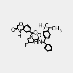 CC(C)c1ccc(C(NC(=O)C2CC(F)CN2C(=O)c2ccc3c(c2)NC(=O)CO3)c2ccccc2)cc1